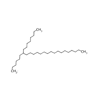 [CH2]CCCCCC(CCCCCCCC)CCCCCCCCCCCCCCCCC